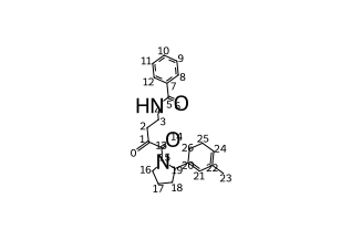 C=C(CCNC(=O)c1ccccc1)C(=O)N1CCCC1C1=CC(C)=CCC1